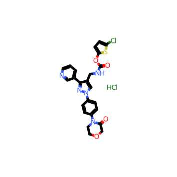 Cl.O=C(NCc1cn(-c2ccc(N3CCOCC3=O)cc2)nc1-c1cccnc1)Oc1ccc(Cl)s1